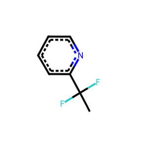 CC(F)(F)c1ccccn1